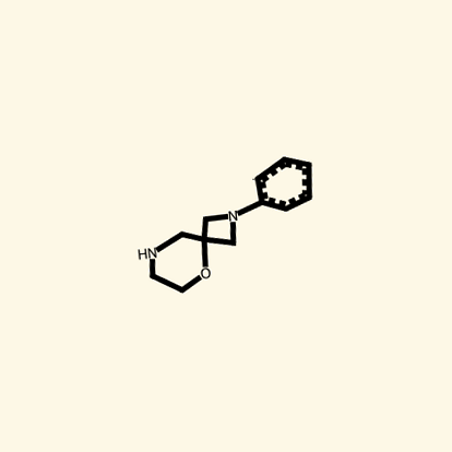 [c]1ccccc1N1CC2(CNCCO2)C1